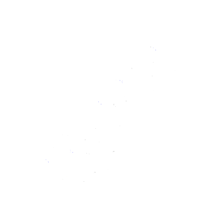 NC1=NC2(c3cc(NC(=O)c4ccc(-c5nccs5)cn4)ccc3F)CCCC2CS1